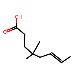 CC=CCC(C)(C)CCC(=O)O